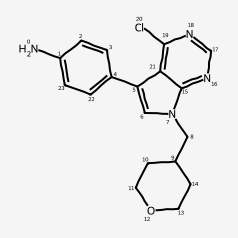 Nc1ccc(-c2cn(CC3CCOCC3)c3ncnc(Cl)c23)cc1